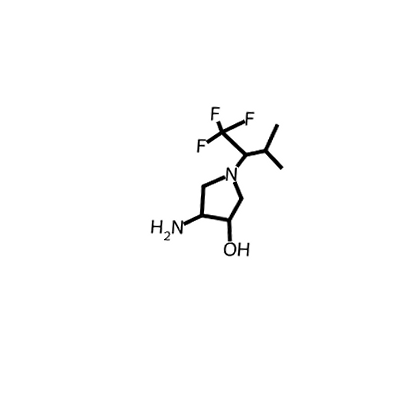 CC(C)C(N1CC(N)C(O)C1)C(F)(F)F